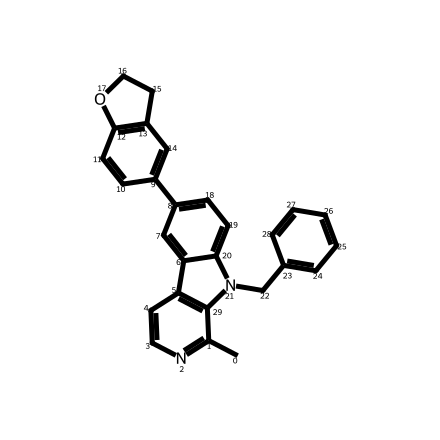 Cc1nccc2c3cc(-c4ccc5c(c4)CCO5)ccc3n(Cc3ccccc3)c12